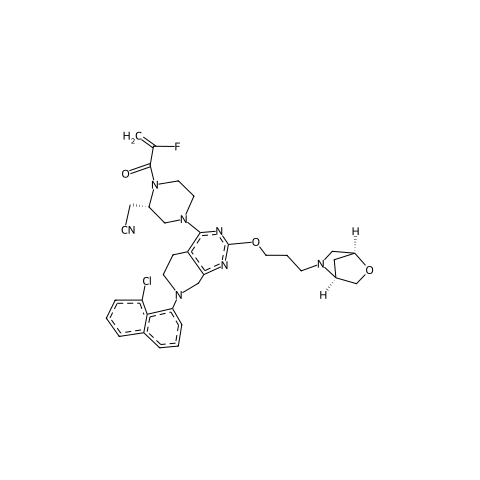 C=C(F)C(=O)N1CCN(c2nc(OCCCN3C[C@@H]4C[C@H]3CO4)nc3c2CCN(c2cccc4cccc(Cl)c24)C3)C[C@@H]1CC#N